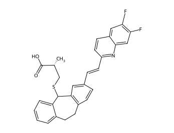 C[C@H](CSC1c2ccccc2CCc2ccc(C=Cc3ccc4cc(F)c(F)cc4n3)cc21)C(=O)O